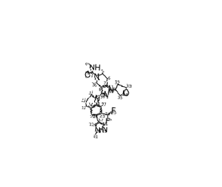 CNC(=O)N1CCc2c(c(N3CCCc4cc(-c5cnn(C)c5)c(C(F)F)cc43)nn2[C@H]2CCOC2)C1